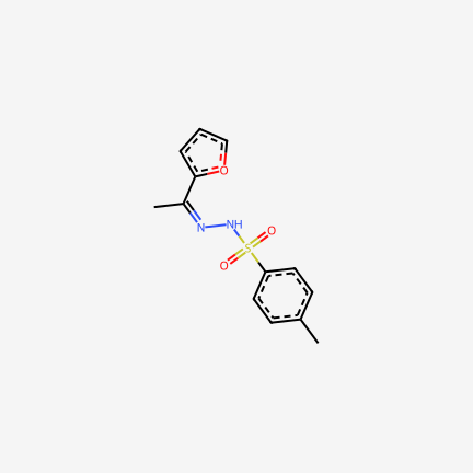 CC(=NNS(=O)(=O)c1ccc(C)cc1)c1ccco1